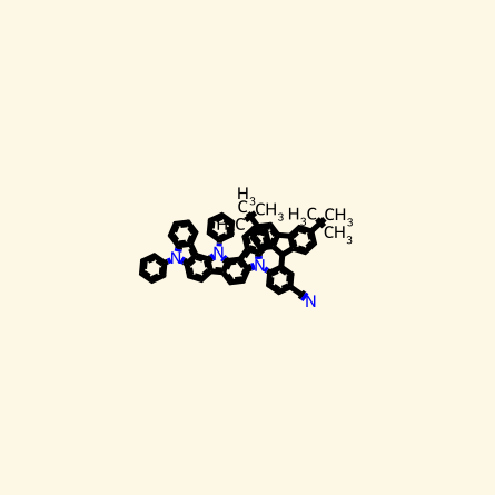 CC(C)(C)c1ccc2c(c1)-c1cc(C(C)(C)C)ccc1C2c1cc(C#N)ccc1-n1c2ccccc2c2c1ccc1c3ccc4c(c5ccccc5n4-c4ccccc4)c3n(-c3ccccc3)c12